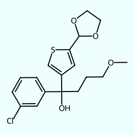 COCCCC(O)(c1cccc(Cl)c1)c1csc(C2OCCO2)c1